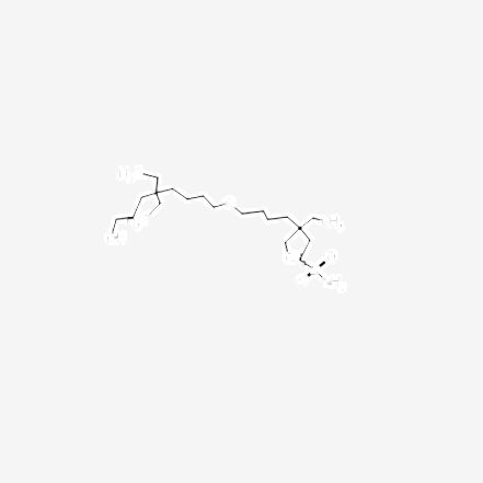 CCC(CC)(CCCO)CCCCOCCCCC(CC)(CC)CCS(N)(=O)=O